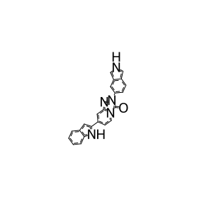 O=c1n(-c2ccc3c[nH]cc3c2)nc2cc(-c3cc4ccccc4[nH]3)ccn12